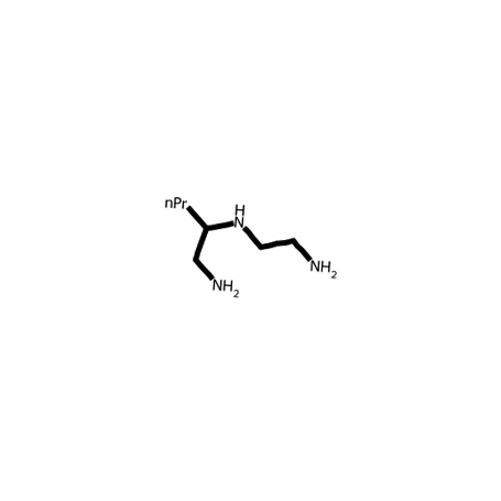 CCCC(CN)NCCN